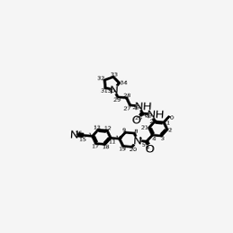 Cc1ccc(C(=O)N2CCC(c3ccc(C#N)cc3)CC2)cc1NC(=O)NCCCN1CCCC1